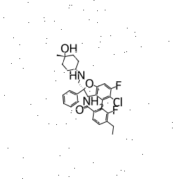 CCc1ccc(C(N)=O)c(-c2c(Cl)c(F)cc3c2C[C@@](CN[C@H]2CC[C@@](C)(O)CC2)(c2ccccc2)O3)c1F